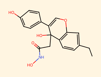 CCc1ccc2c(c1)OC=C(c1ccc(O)cc1)C2(O)CC(=O)NO